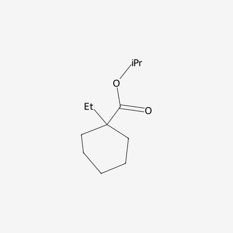 CCC1(C(=O)OC(C)C)CCCCC1